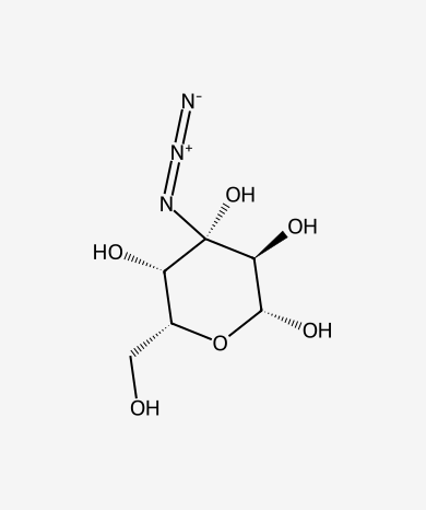 [N-]=[N+]=N[C@@]1(O)[C@@H](O)[C@H](O)O[C@H](CO)[C@@H]1O